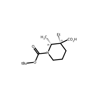 CC[C@]1(C(=O)O)CCCN(C(=O)OC(C)(C)C)[C@@H]1C